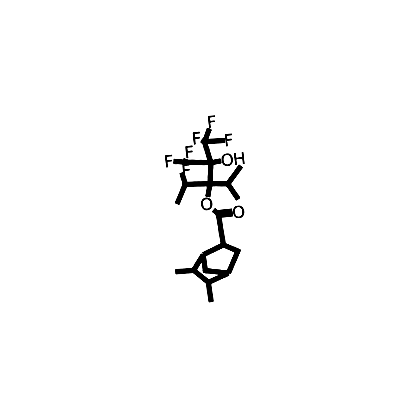 CC1C2CC(C(=O)OC(C(C)C)(C(C)C)C(O)(C(F)(F)F)C(F)(F)F)C(C2)C1C